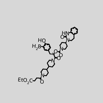 Bc1cc(C[C@@H](OC(=O)N2CCC(N3CCc4ccccc4NC3=O)CC2)C(=O)N2CCC(C3CCN(C(=O)CCC(=O)OCC)CC3)CC2)ccc1O